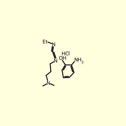 CCN=C=NCCCN(C)C.Cl.Nc1ccccc1O